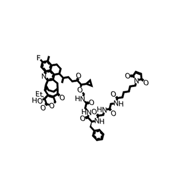 CC[C@@]1(O)C(=O)OCC2=C1/C=C1\CCC(Cc3c1nc1cc(F)c(C)c4c1c3C(C(C)CCC(=O)C(OCNC(=O)CNC(=O)[C@H](Cc1ccccc1)NC(=O)CNC(=O)CNC(=O)CCCCCN1C(=O)C=CC1=O)C1CC1)CC4)C2=O